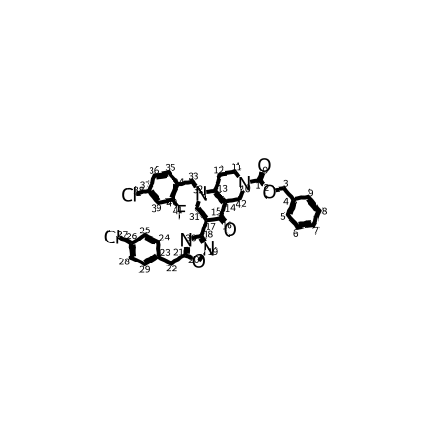 O=C(OCc1ccccc1)N1CCc2c(c(=O)c(-c3noc(Cc4ccc(Cl)cc4)n3)cn2Cc2ccc(Cl)cc2F)C1